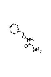 NCC(=O)NOCc1ccccc1